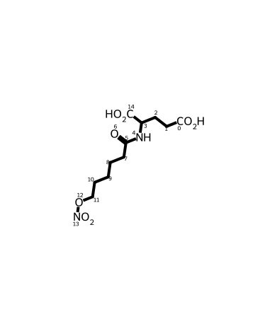 O=C(O)CCC(NC(=O)CCCCCO[N+](=O)[O-])C(=O)O